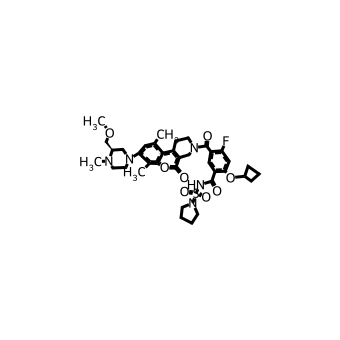 COC[C@H]1CN(c2cc(C)c3c4c(c(=O)oc3c2C)CN(C(=O)c2cc(C(=O)NS(=O)(=O)N3CCCC3)c(OC3CCC3)cc2F)CC4)CCN1C